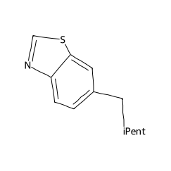 CCCC(C)Cc1ccc2ncsc2c1